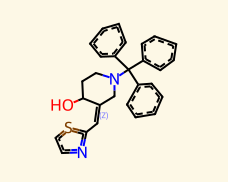 OC1CCN(C(c2ccccc2)(c2ccccc2)c2ccccc2)C/C1=C/c1nccs1